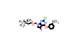 C[Si](C)(C)CCOCn1cc(I)c2c(Oc3cccc([N+](=O)[O-])c3)nc(Cl)nc21